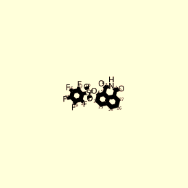 O=C1NC(=O)c2c(OS(=O)(=O)c3c(F)c(F)c(F)c(F)c3F)ccc3cccc1c23